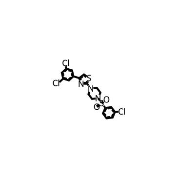 O=S(=O)(c1cccc(Cl)c1)N1CCN(c2nc(-c3cc(Cl)cc(Cl)c3)cs2)CC1